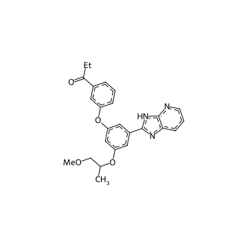 CCC(=O)c1cccc(Oc2cc(OC(C)COC)cc(-c3nc4cccnc4[nH]3)c2)c1